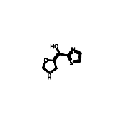 OC(=C1CNCO1)c1nccs1